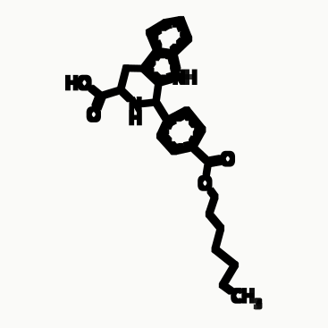 CCCCCCCOC(=O)c1ccc(C2NC(C(=O)O)Cc3c2[nH]c2ccccc32)cc1